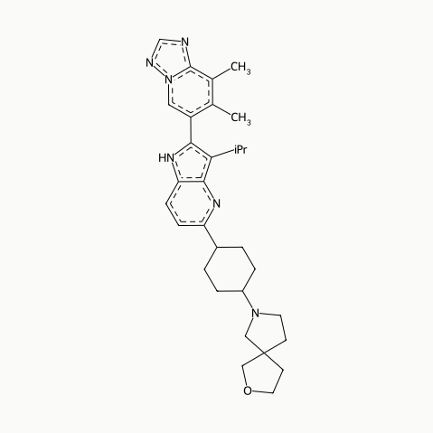 Cc1c(-c2[nH]c3ccc(C4CCC(N5CCC6(CCOC6)C5)CC4)nc3c2C(C)C)cn2ncnc2c1C